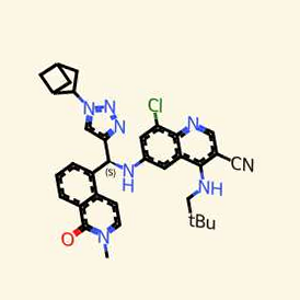 Cn1ccc2c([C@H](Nc3cc(Cl)c4ncc(C#N)c(NCC(C)(C)C)c4c3)c3cn(C4CC5CC4C5)nn3)cccc2c1=O